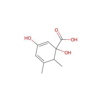 CC1=CC(O)=CC(O)(C(=O)O)C1C